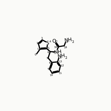 Cc1ccsc1C(Cc1ccccc1N)NC(=O)CN